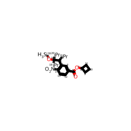 CC(C)C(c1cc(C(=O)OC2CCC2)ccc1[N+](=O)[O-])C(O[SiH3])(C(C)C)C(C)C